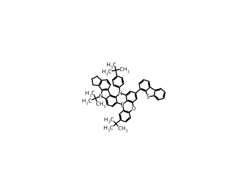 CC(C)(C)c1ccc(N2c3cc(-c4cccc5c4sc4ccccc45)cc4c3B(c3cc(C(C)(C)C)ccc3O4)c3ccc4c(c32)c2ccc3c(c2n4C(C)(C)C)CCC3)cc1